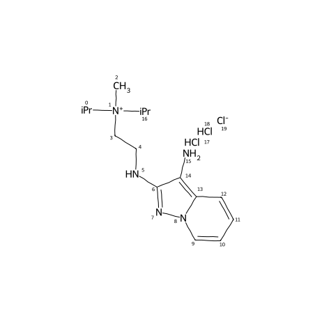 CC(C)[N+](C)(CCNc1nn2ccccc2c1N)C(C)C.Cl.Cl.[Cl-]